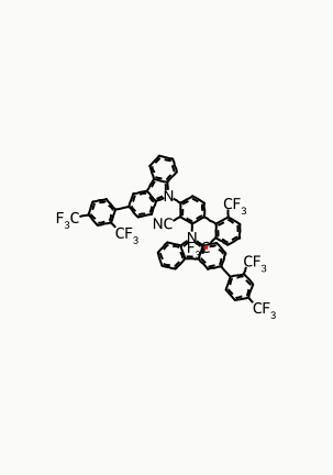 N#Cc1c(-n2c3ccccc3c3cc(-c4ccc(C(F)(F)F)cc4C(F)(F)F)ccc32)ccc(-c2c(C(F)(F)F)cccc2C(F)(F)F)c1-n1c2ccccc2c2cc(-c3ccc(C(F)(F)F)cc3C(F)(F)F)ccc21